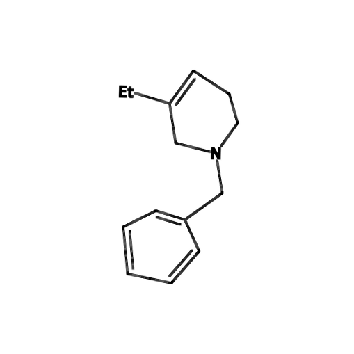 CCC1=CCCN(Cc2ccccc2)C1